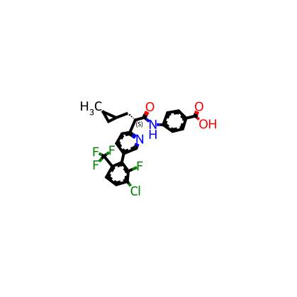 CC1CC1C[C@H](C(=O)Nc1ccc(C(=O)O)cc1)c1ccc(-c2c(C(F)(F)F)ccc(Cl)c2F)cn1